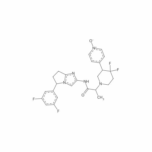 CC(C(=O)Nc1cn2c(n1)CCC2c1cc(F)cc(F)c1)N1CCC(F)(F)C(c2cc[n+]([O-])cc2)C1